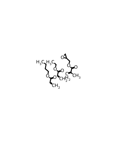 C=C(C)C(=O)OCC1CO1.C=CC(=O)OCC.C=CC(=O)OCCCC